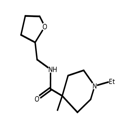 CCN1CCC(C)(C(=O)NCC2CCCO2)CC1